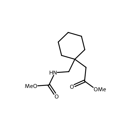 COC(=O)CC1(CNC(=O)OC)CCCCC1